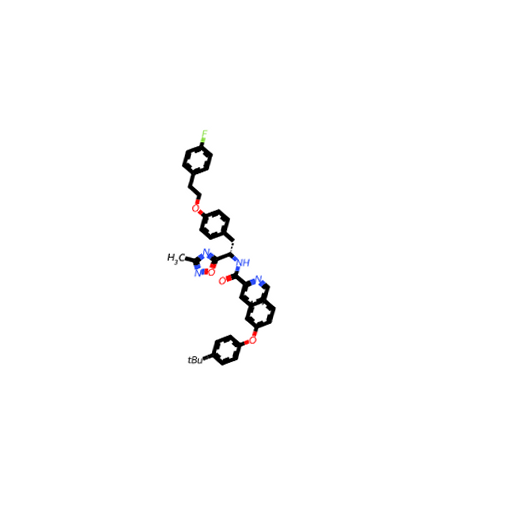 Cc1noc([C@H](Cc2ccc(OCCc3ccc(F)cc3)cc2)NC(=O)c2cc3cc(Oc4ccc(C(C)(C)C)cc4)ccc3cn2)n1